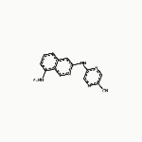 CC(=O)Nc1cccc2cc(Nc3cnc(C#N)cn3)ncc12